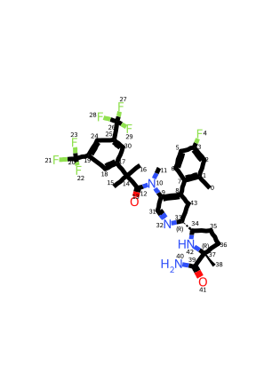 Cc1cc(F)ccc1C1=C(N(C)C(=O)C(C)(C)c2cc(C(F)(F)F)cc(C(F)(F)F)c2)C=N[C@@H](C2CC[C@](C)(C(N)=O)N2)C1